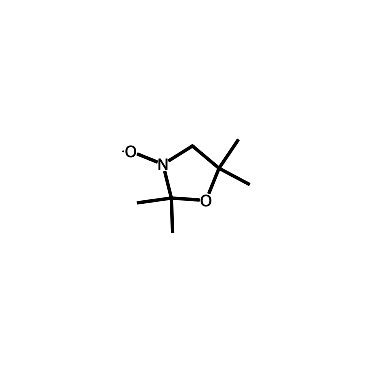 CC1(C)CN([O])C(C)(C)O1